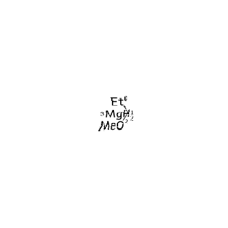 [CH2]CCOC.[MgH2]